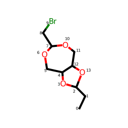 CCC1OC2COC(CBr)OCC2O1